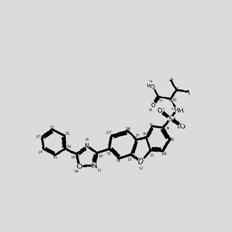 CC(C)[C@@H](NS(=O)(=O)c1ccc2oc3cc(-c4noc(-c5ccccc5)n4)ccc3c2c1)C(=O)O